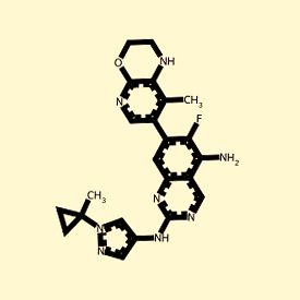 Cc1c(-c2cc3nc(Nc4cnn(C5(C)CC5)c4)ncc3c(N)c2F)cnc2c1NCCO2